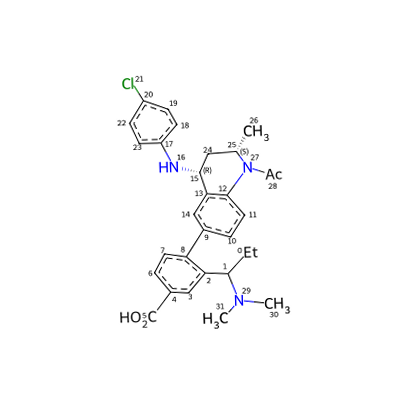 CCC(c1cc(C(=O)O)ccc1-c1ccc2c(c1)[C@H](Nc1ccc(Cl)cc1)C[C@H](C)N2C(C)=O)N(C)C